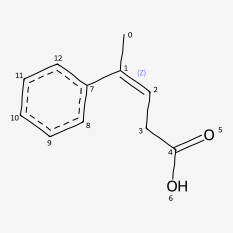 C/C(=C/CC(=O)O)c1ccccc1